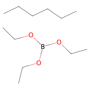 CCCCCC.CCOB(OCC)OCC